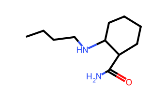 CCCCNC1CCCCC1C(N)=O